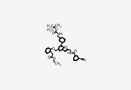 CCOC(=O)Cc1ccccc1OCc1cc(-c2cccc(CNC(=O)OC(C)(C)C)c2)c2oc(CNC(=O)c3cccc(C#N)c3)cc2c1